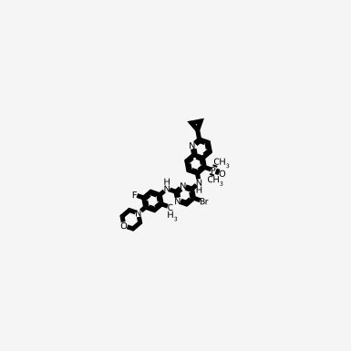 Cc1cc(N2CCOCC2)c(F)cc1Nc1ncc(Br)c(Nc2ccc3nc(C4CC4)ccc3c2P(C)(C)=O)n1